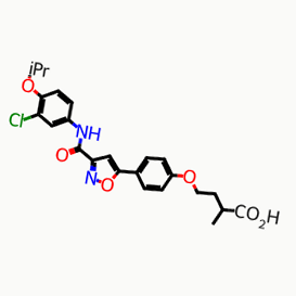 CC(C)Oc1ccc(NC(=O)c2cc(-c3ccc(OCCC(C)C(=O)O)cc3)on2)cc1Cl